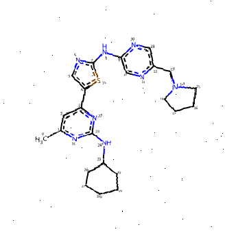 Cc1cc(-c2cnc(Nc3cnc(CN4CCCC4)cn3)s2)nc(NC2CCCCC2)n1